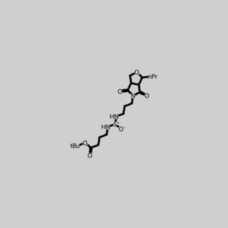 CCCC1OCC2C(=O)N(CCCN[S+]([O-])NCCCC(=O)OC(C)(C)C)C(=O)C12